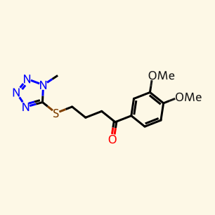 COc1ccc(C(=O)CCCSc2nnnn2C)cc1OC